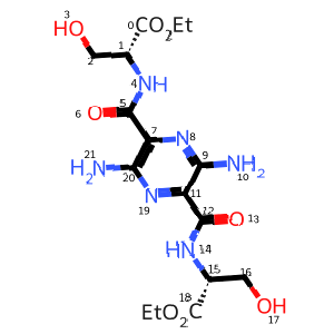 CCOC(=O)[C@@H](CO)NC(=O)c1nc(N)c(C(=O)N[C@H](CO)C(=O)OCC)nc1N